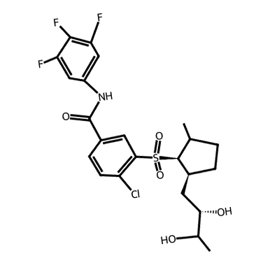 CC(O)[C@@H](O)C[C@@H]1CCC(C)[C@@H]1S(=O)(=O)c1cc(C(=O)Nc2cc(F)c(F)c(F)c2)ccc1Cl